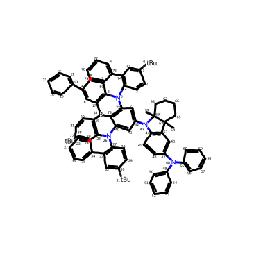 CC(C)(C)c1ccc(N2c3ccc(-c4ccccc4)cc3B3c4ccc(C(C)(C)C)cc4N(c4ccc(C(C)(C)C)cc4-c4ccccc4)c4cc(N5c6ccc(N(c7ccccc7)c7ccccc7)cc6C6(C)CCCCC56C)cc2c43)c(-c2ccccc2)c1